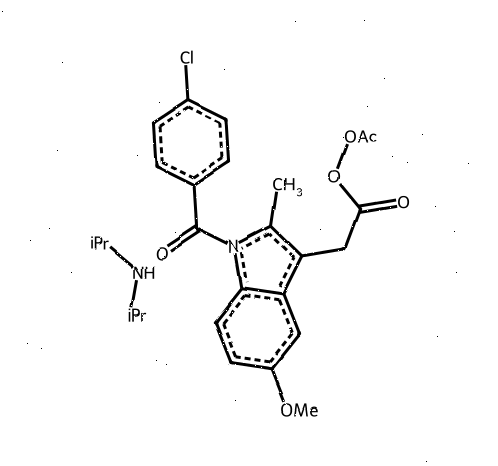 CC(C)NC(C)C.COc1ccc2c(c1)c(CC(=O)OOC(C)=O)c(C)n2C(=O)c1ccc(Cl)cc1